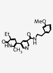 CCc1cc(-c2cncc(C(=O)NCCc3cccc(OC)c3)c2)c(C)[nH]c1=O